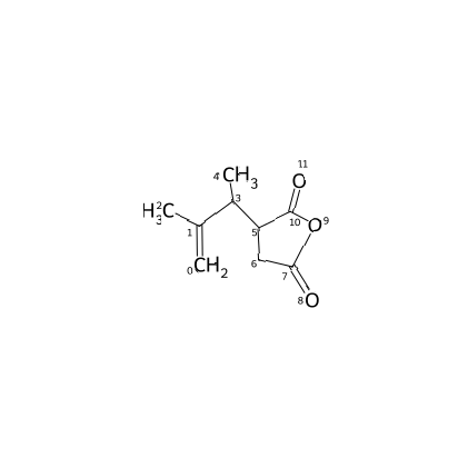 C=C(C)C(C)C1CC(=O)OC1=O